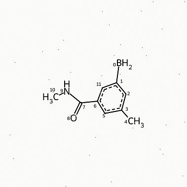 Bc1cc(C)cc(C(=O)NC)c1